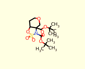 CC(C)(C)OC(=O)N1C2(C(=O)OC(C)(C)C)COCCC2OS1(=O)=O